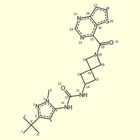 Cn1nc(C(C)(C)C)cc1NC(=O)NC1CC2(C1)CN(C(=O)c1ncnc3ccsc13)C2